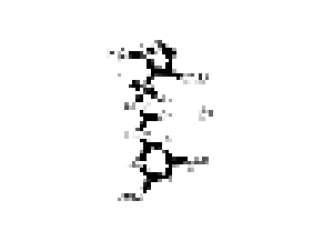 CCOC(=O)c1cnn(C)c1S(=O)(=O)NC(=O)Nc1nc(OC)cc(OC)n1.[Ag]